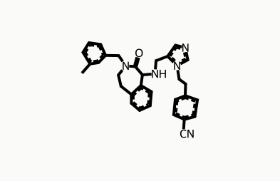 Cc1cccc(CN2CCc3ccccc3C(NCc3cncn3CCc3ccc(C#N)cc3)C2=O)c1